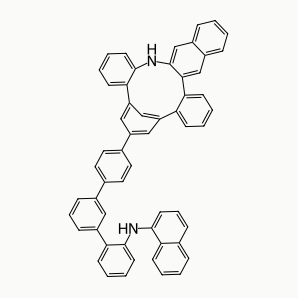 c1cc(-c2ccc(-c3cc4cc(c3)-c3ccccc3-c3cc5ccccc5cc3Nc3ccccc3-4)cc2)cc(-c2ccccc2Nc2cccc3ccccc23)c1